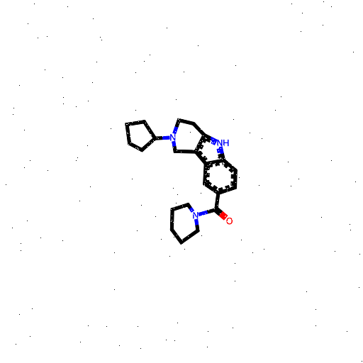 O=C(c1ccc2[nH]c3c(c2c1)CN(C1CCCC1)CC3)N1CCCCC1